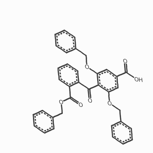 O=C(O)c1cc(OCc2ccccc2)c(C(=O)c2ccccc2C(=O)OCc2ccccc2)c(OCc2ccccc2)c1